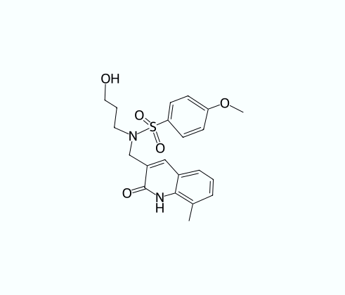 COc1ccc(S(=O)(=O)N(CCCO)Cc2cc3cccc(C)c3[nH]c2=O)cc1